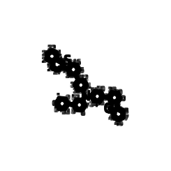 c1ccc(-c2cccc(N(c3ccc(-c4ccc5sc6c7ccccc7ccc6c5c4)cc3)c3ccc(-c4cccc5c4oc4ccccc45)cc3)c2)cc1